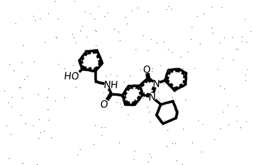 O=C(NCc1ccccc1O)c1ccc2c(c1)c(=O)n(-c1ccccc1)n2C1CCCCC1